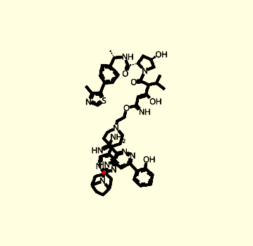 Cc1ncsc1-c1ccc([C@H](C)NC(=O)[C@@H]2C[C@@H](O)CN2C(=O)C(/C(O)=C/C(=N)OCCN2CCC(c3cnc(N4C5CCC4CC(Nc4cc(-c6ccccc6O)nnc4C(=N)N)C5)nc3)CC2)C(C)C)cc1